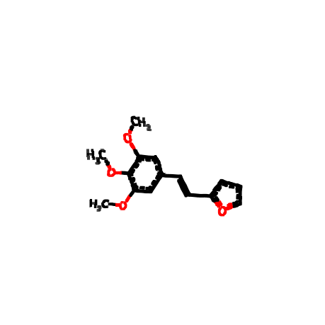 COc1cc(/C=C/c2ccco2)cc(OC)c1OC